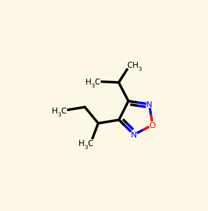 CCC(C)c1nonc1C(C)C